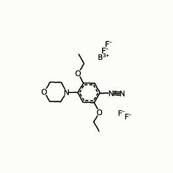 CCOc1cc(N2CCOCC2)c(OCC)cc1[N+]#N.[B+3].[F-].[F-].[F-].[F-]